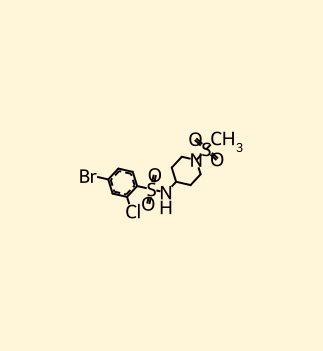 CS(=O)(=O)N1CCC(NS(=O)(=O)c2ccc(Br)cc2Cl)CC1